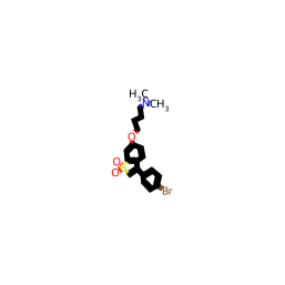 CN(C)CCCCOc1ccc2c(c1)S(=O)(=O)C=C2c1ccc(Br)cc1